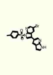 Cc1ccc(S(=O)(=O)n2cc(-c3cnc4[nH]ccc4c3)c3cc(Br)cnc32)cc1